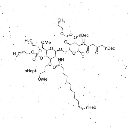 C=CCOC(=O)O[C@H]1[C@H](OCCCCCCCCCC)[C@@H](NC(=O)CC(=O)CCCCCCCCCCC)[C@@H](O)O[C@@H]1CO[C@@H]1O[C@H](COC)[C@@H](OP(=O)(OCC=C)OCC=C)[C@H](OCC[C@@H](CCCCCCC)OC)[C@H]1NC(=O)CCCCCCCCC/C=C\CCCCCC